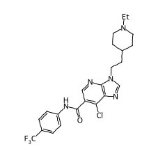 CCN1CCC(CCn2cnc3c(Cl)c(C(=O)Nc4ccc(C(F)(F)F)cc4)cnc32)CC1